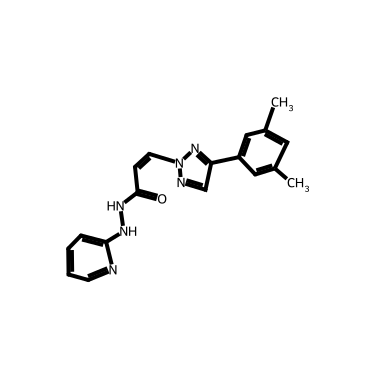 Cc1cc(C)cc(-c2cnn(/C=C\C(=O)NNc3ccccn3)n2)c1